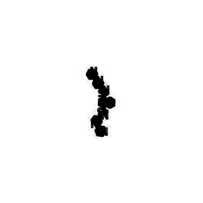 c1cncc(-c2ccc(-c3ncc(-c4ccc(-c5cnc(-c6ccnc(-c7cccnc7)c6)s5)c5ccccc45)s3)cn2)c1